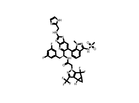 Cn1nc(NS(C)(=O)=O)c2cccc(-c3cc4sc(NCc5ncc[nH]5)nc4nc3[C@H](Cc3cc(F)cc(F)c3)NC(=O)Cn3nc(C(F)(F)F)c4c3C(F)(F)C3C[C@H]43)c21